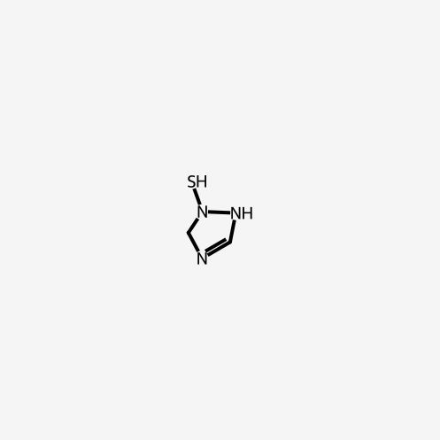 SN1CN=CN1